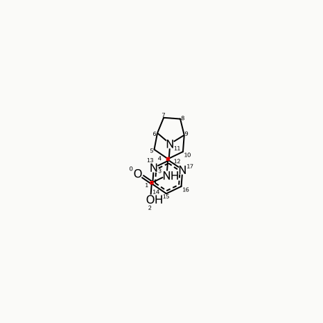 O=C(O)NC1CC2CCC(C1)N2c1ncccn1